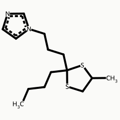 CCCCC1(CCCn2ccnc2)SCC(C)S1